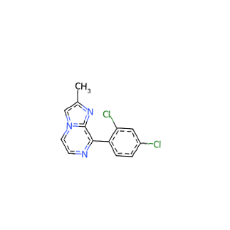 Cc1cn2ccnc(-c3ccc(Cl)cc3Cl)c2n1